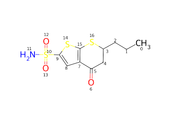 CCCC1CC(=O)c2cc(S(N)(=O)=O)sc2S1